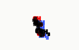 C=C/C(=C\C=C(/C)S(N)(=O)=O)N/C=C1\C(=O)Nc2cc(CO)ccc21